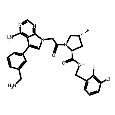 NCc1cccc(-c2cn(CC(=O)N3C[C@H](F)C[C@H]3C(=O)NCc3cccc(Cl)c3F)c3ncnc(N)c23)c1